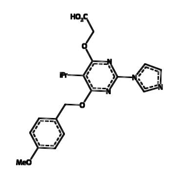 COc1ccc(COc2nc(-n3ccnc3)nc(OCC(=O)O)c2C(C)C)cc1